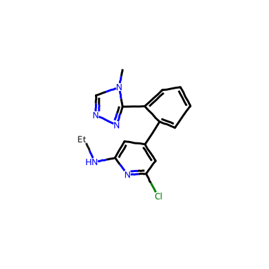 CCNc1cc(-c2ccccc2-c2nncn2C)cc(Cl)n1